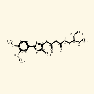 COc1ccc(-c2nc(CC(=O)CC(=O)NCC(OC)OC)c(C)o2)cc1OC